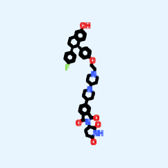 O=C1CCC(N2C(=O)c3ccc(C4CCN(C5CCN(CCOc6ccc([C@@H]7c8ccc(O)cc8CC[C@@H]7c7ccc(F)cc7)cc6)CC5)CC4)cc3C2=O)C(=O)N1